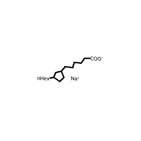 CCCCCCC1CCC(CCCCCC(=O)[O-])C1.[Na+]